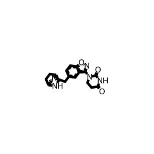 O=C1CCN(c2noc3ccc(CN4CC5CCC4CN5)cc23)C(=O)N1